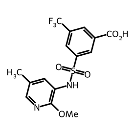 COc1ncc(C)cc1NS(=O)(=O)c1cc(C(=O)O)cc(C(F)(F)F)c1